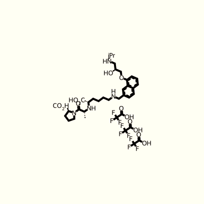 CC(C)NC[C@H](O)COc1cccc2ccc(CNCCCC[C@H](N[C@H](C)C(=O)N3CCC[C@H]3C(=O)O)C(=O)O)cc12.O=C(O)C(F)(F)F.O=C(O)C(F)(F)F.O=C(O)C(F)(F)F